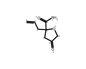 C=CCC1(C(N)=O)[CH]C(=O)CO1